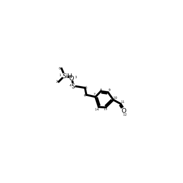 C[SiH](C)OSCCc1ccc(C=O)cc1